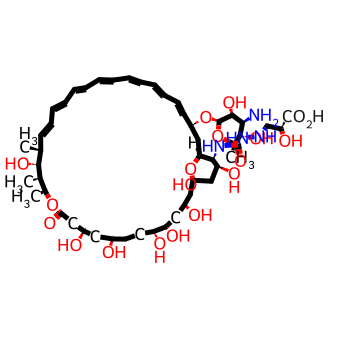 C[C@@H]1[C@H](O)[C@@H](C)/C=C/C=C/C=C/C=C/C=C/C=C/C=C/[C@H](O[C@@H]2O[C@H](C)[C@@H](O)[C@H](N)[C@@H]2O)C[C@@H]2O[C@](O)(C[C@@H](O)C[C@@H](O)[C@H](O)CC[C@@H](O)C[C@@H](O)CC(=O)O[C@H]1C)C[C@H](O)[C@H]2NC(=O)NNC[C@@H](O)C(=O)O